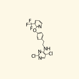 FC(F)(F)c1cccnc1Oc1ccc(CCNc2nc(Cl)ncc2Cl)cc1